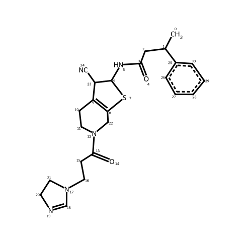 CC(CC(=O)NC1SC2=C(CCN(C(=O)CCN3C=NCC3)C2)C1C#N)c1ccccc1